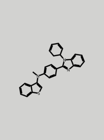 CN(c1ccc(-c2nc3ccccc3n2C2C=CC=CC2)cc1)c1csc2ccccc12